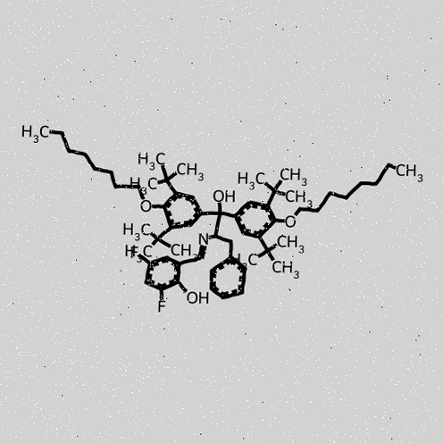 CCCCCCCCOc1c(C(C)(C)C)cc(C(O)(c2cc(C(C)(C)C)c(OCCCCCCCC)c(C(C)(C)C)c2)C(Cc2ccccc2)N=Cc2cc(F)cc(F)c2O)cc1C(C)(C)C